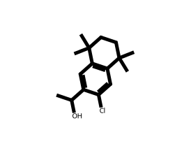 CC(O)c1cc2c(cc1Cl)C(C)(C)CCC2(C)C